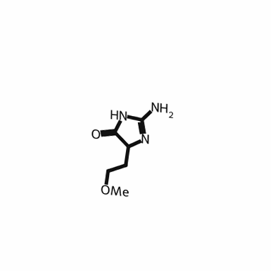 COCCC1N=C(N)NC1=O